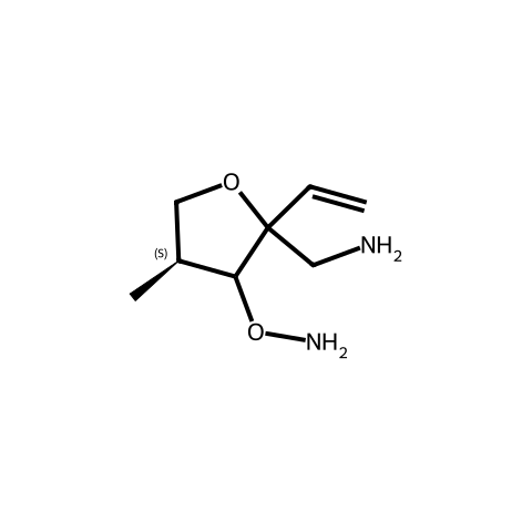 C=CC1(CN)OC[C@H](C)C1ON